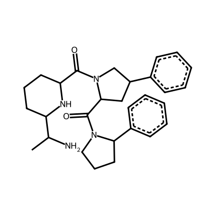 CC(N)C1CCCC(C(=O)N2CC(c3ccccc3)CC2C(=O)N2CCCC2c2ccccc2)N1